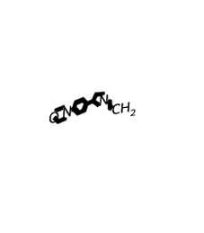 C=CCN1CCC(c2ccc(N3CCOCC3)cc2)C1